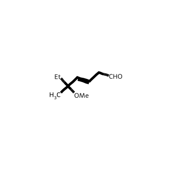 CCC(C)(C=CCC=O)OC